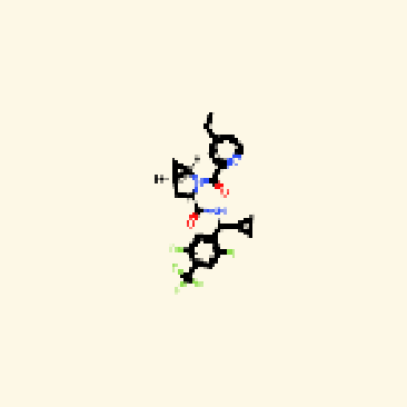 CCc1ccnc(C(=O)N2[C@@H](C(=O)N[C@@H](c3cc(F)c(C(F)(F)F)cc3F)C3CC3)C[C@H]3C[C@H]32)c1